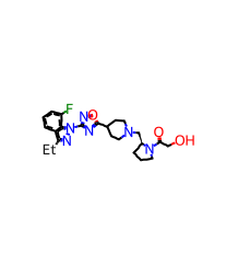 CCc1nn(-c2noc(C3CCN(C[C@@H]4CCCN4C(=O)CO)CC3)n2)c2c(F)cccc12